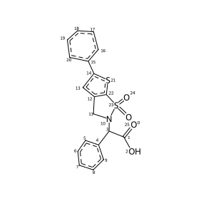 O=C(O)C(c1ccccc1)N1Cc2cc(-c3ccccc3)sc2S1(=O)=O